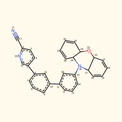 N#Cc1ccc(-c2cccc(-c3cccc(N4C5C=CC=CC5OC5C=CC=CC54)c3)c2)cn1